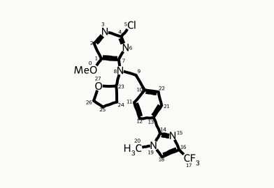 COc1cnc(Cl)nc1N(Cc1ccc(-c2nc(C(F)(F)F)cn2C)cc1)C1CCCO1